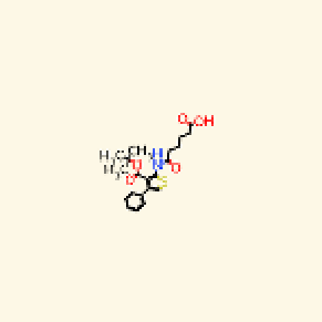 CC(C)(C)OC(=O)c1c(-c2ccccc2)csc1NC(=O)CCCCC(=O)O